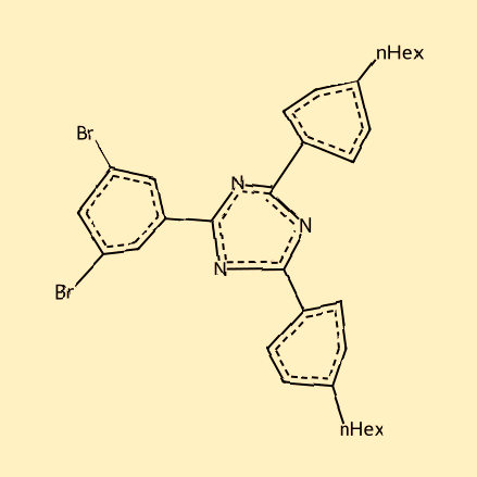 CCCCCCc1ccc(-c2nc(-c3ccc(CCCCCC)cc3)nc(-c3cc(Br)cc(Br)c3)n2)cc1